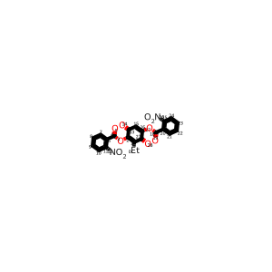 CCC1=C(OC(=O)c2ccccc2[N+](=O)[O-])C(=O)C=C(OC(=O)c2ccccc2[N+](=O)[O-])C1=O